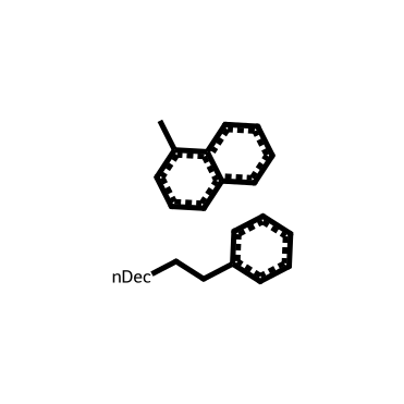 CCCCCCCCCCCCc1ccccc1.Cc1cccc2ccccc12